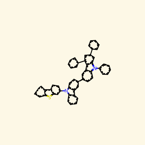 c1ccc(-c2cc(-c3ccccc3)c3c4cc(-c5ccc6c(c5)c5ccccc5n6-c5ccc6c(c5)sc5ccccc56)ccc4n(-c4ccccc4)c3c2)cc1